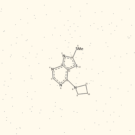 CSc1nc2ncnc(N3CCC3)c2s1